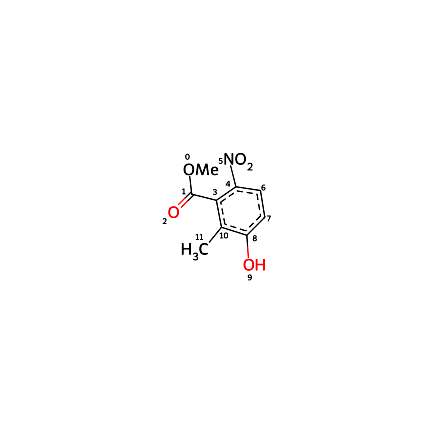 COC(=O)c1c([N+](=O)[O-])ccc(O)c1C